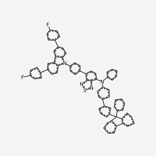 Fc1ccc(-c2ccc3c(c2)c2cc(-c4ccc(F)cc4)ccc2n3-c2ccc(-c3ccc(N(c4ccccc4)c4ccc(-c5cccc(C6(c7ccccc7)c7ccccc7-c7ccccc76)c5)cc4)c4nsnc34)cc2)cc1